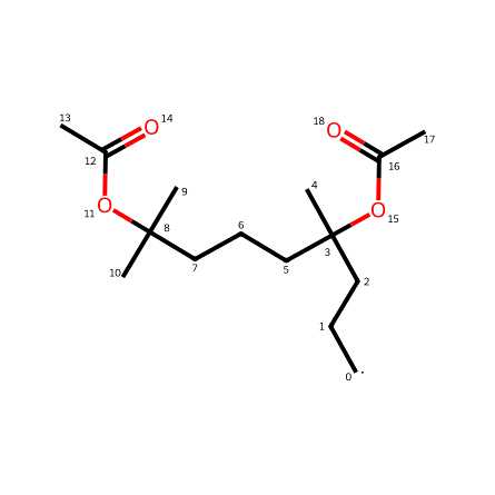 [CH2]CCC(C)(CCCC(C)(C)OC(C)=O)OC(C)=O